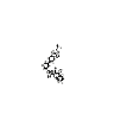 CC(C)C=CS(=O)(=O)c1ccc(-c2cccc(CNC(=O)c3nc4ccccc4c(=O)[nH]3)c2)cc1